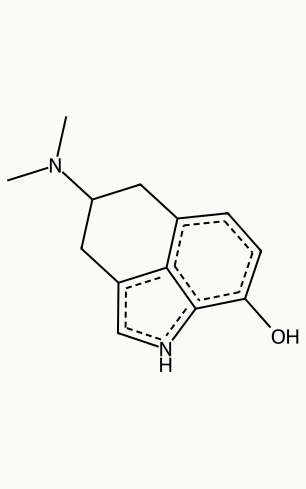 CN(C)C1Cc2ccc(O)c3[nH]cc(c23)C1